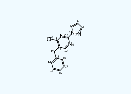 Clc1nc(-n2cccn2)ncc1Cc1ccccc1